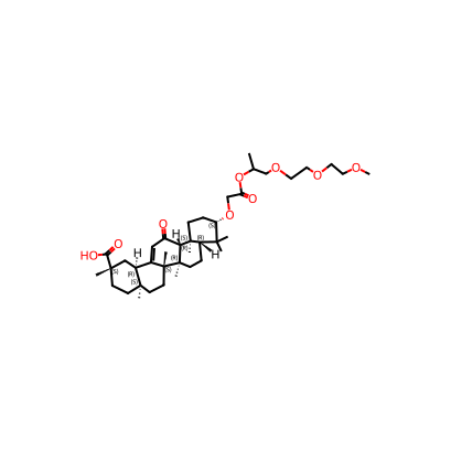 COCCOCCOCC(C)OC(=O)CO[C@H]1CC[C@]2(C)[C@H]3C(=O)C=C4[C@@H]5C[C@@](C)(C(=O)O)CC[C@]5(C)CC[C@@]4(C)[C@]3(C)CC[C@H]2C1(C)C